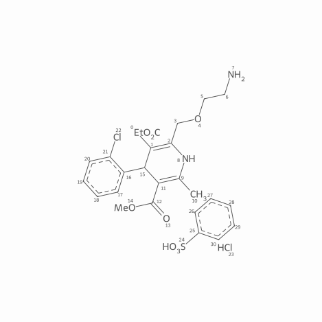 CCOC(=O)C1=C(COCCN)NC(C)=C(C(=O)OC)C1c1ccccc1Cl.Cl.O=S(=O)(O)c1ccccc1